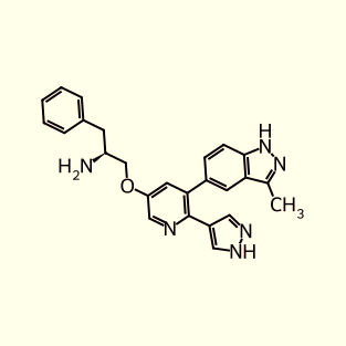 Cc1n[nH]c2ccc(-c3cc(OC[C@@H](N)Cc4ccccc4)cnc3-c3cn[nH]c3)cc12